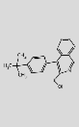 CC(C)(C)c1ccc(-c2c(CO)ncc3ccccc23)cc1